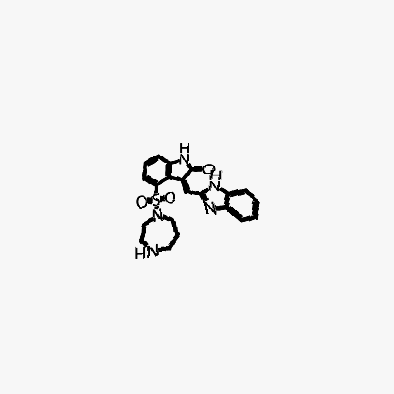 O=C1Nc2cccc(S(=O)(=O)N3CCCNCC3)c2/C1=C/c1nc2ccccc2[nH]1